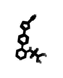 CC(C)S(=O)(=O)N[C@H]1COCC[C@H]1c1ccc(-c2ccc(C#N)s2)cc1